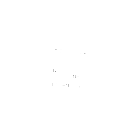 CC1=C(C#N)C(c2cc(C(F)(F)F)cc(C(F)(F)F)c2)NC(=O)N1